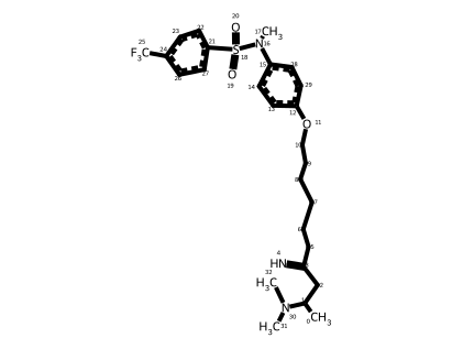 CC(CC(=N)CCCCCCOc1ccc(N(C)S(=O)(=O)c2ccc(C(F)(F)F)cc2)cc1)N(C)C